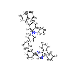 c1cc(-c2ccc(-n3c4ccccc4c4cc(-c5cccc6ccccc56)ccc43)cc2)cc(-c2cccc(-c3cnc4c5ccccc5c5ccccc5c4n3)c2)c1